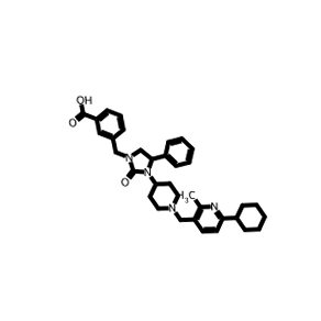 Cc1nc(C2CCCCC2)ccc1CN1CCC(N2C(=O)N(Cc3cccc(C(=O)O)c3)CC2c2ccccc2)CC1